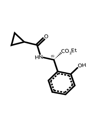 CCOC(=O)[C@@H](NC(=O)C1CC1)c1ccccc1O